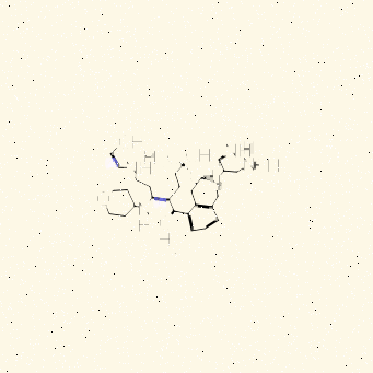 C=C(/C(CCC(C)(C)C)=C(/CCN/C=C\C)NC1CCOCC1)c1cccc2c1CCN(C(C=N)CNC)C2